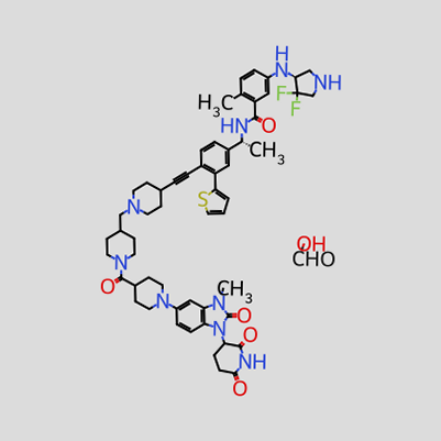 Cc1ccc(N[C@H]2CNCC2(F)F)cc1C(=O)N[C@H](C)c1ccc(C#CC2CCN(CC3CCN(C(=O)C4CCN(c5ccc6c(c5)n(C)c(=O)n6C5CCC(=O)NC5=O)CC4)CC3)CC2)c(-c2cccs2)c1.O=CO